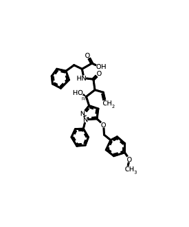 C=CC(C(=O)NC(Cc1ccccc1)C(=O)O)[C@H](O)c1cc(OCc2ccc(OC)cc2)n(-c2ccccc2)n1